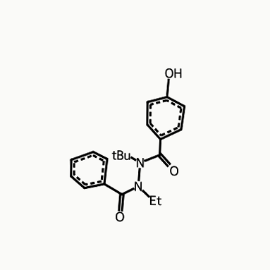 CCN(C(=O)c1ccccc1)N(C(=O)c1ccc(O)cc1)C(C)(C)C